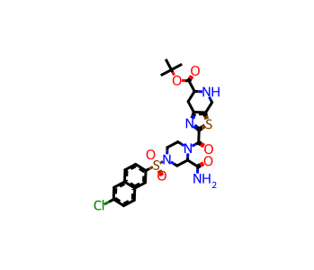 CC(C)(C)OC(=O)C1Cc2nc(C(=O)N3CCN(S(=O)(=O)c4ccc5cc(Cl)ccc5c4)CC3C(N)=O)sc2CN1